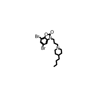 CCCCC1CCN(CCCn2c(=O)oc3c(Br)cc(Br)cc32)CC1